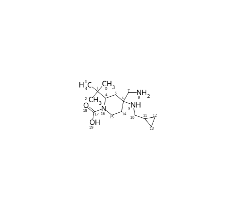 CC(C)(C)C1CC(CN)(NCC2CC2)CCN1C(=O)O